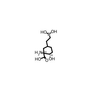 N[C@@]1(C(=O)O)CC(CCB(O)O)CC[C@@H]1O